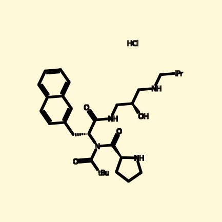 CC(C)CNC[C@@H](O)CNC(=O)[C@@H](Cc1ccc2ccccc2c1)N(C(=O)[C@@H]1CCCN1)C(=O)C(C)(C)C.Cl